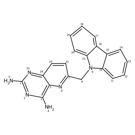 Nc1nc(N)c2nc(Cn3c4ccccc4c4ccccc43)ccc2n1